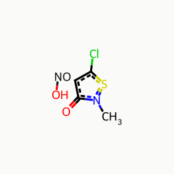 Cn1sc(Cl)cc1=O.O=NO